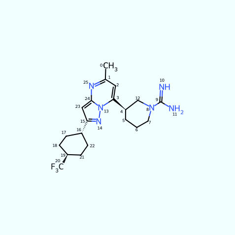 Cc1cc([C@@H]2CCCN(C(=N)N)C2)n2nc([C@H]3CC[C@H](C(F)(F)F)CC3)cc2n1